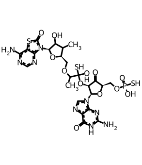 CC1C(O)[C@H](n2c(=O)sc3c(N)ncnc32)O[C@@H]1COC(C)C(O)(S)O[C@H]1C(=O)[C@@H](CO[P@](=O)(O)S)O[C@H]1n1cnc2c(=O)[nH]c(N)nc21